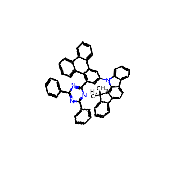 CC1(C)c2ccccc2-c2ccc3c4ccccc4n(-c4cc(-c5nc(-c6ccccc6)nc(-c6ccccc6)n5)c5c6ccccc6c6ccccc6c5c4)c3c21